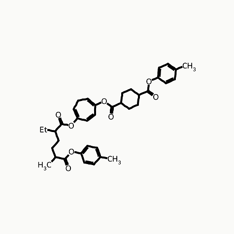 CCC(CCC(C)C(=O)Oc1ccc(C)cc1)C(=O)OC1=CCC=C(OC(=O)C2CCC(C(=O)Oc3ccc(C)cc3)CC2)C=C1